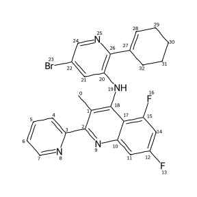 Cc1c(-c2ccccn2)nc2cc(F)cc(F)c2c1Nc1cc(Br)cnc1C1=CCCCC1